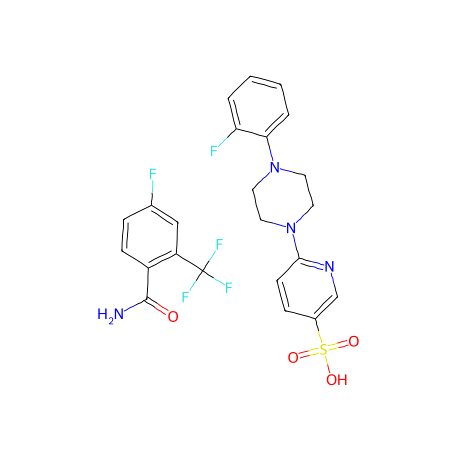 NC(=O)c1ccc(F)cc1C(F)(F)F.O=S(=O)(O)c1ccc(N2CCN(c3ccccc3F)CC2)nc1